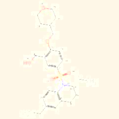 CCc1ccc2c(c1)CC[C@@H](CC)N2S(=O)(=O)c1ccc(OCC2CCOCC2)c(CO)c1